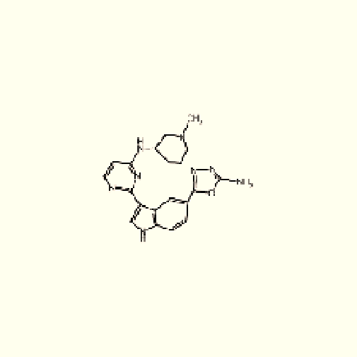 CN1CCCC(Nc2ccnc(-c3c[nH]c4ccc(-c5nnc(N)o5)cc34)n2)C1